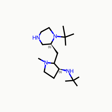 CN1CC[C@H](NC(C)(C)C)C1C[C@H]1CNCCN1C(C)(C)C